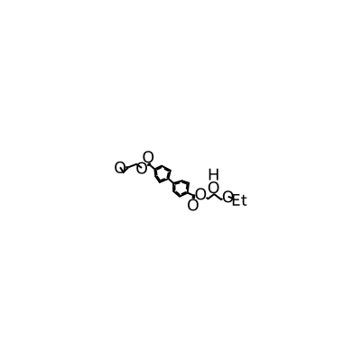 CCOCC(O)COC(=O)c1ccc(-c2ccc(C(=O)OCC3CO3)cc2)cc1